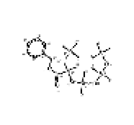 C[Si](C)(C)O[Si](C)(C)O[Si](C)(C)O[Si](C)(O[Si](C)(C)C)C(=O)OCc1ccccc1